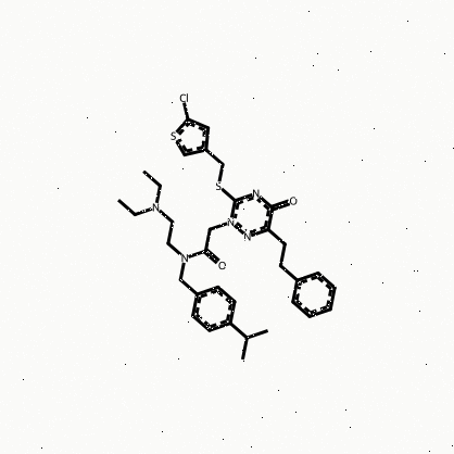 CCN(CC)CCN(Cc1ccc(C(C)C)cc1)C(=O)Cn1nc(CCc2ccccc2)c(=O)nc1SCc1csc(Cl)c1